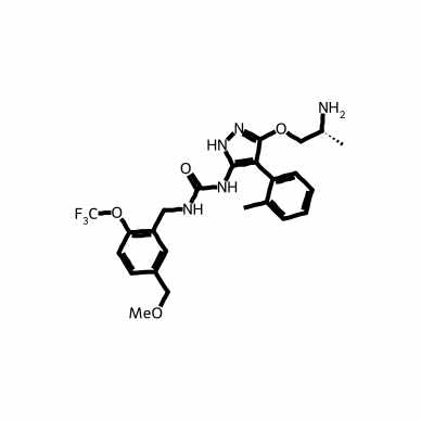 COCc1ccc(OC(F)(F)F)c(CNC(=O)Nc2[nH]nc(OC[C@@H](C)N)c2-c2ccccc2C)c1